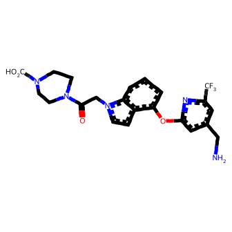 NCc1cc(Oc2cccc3c2ccn3CC(=O)N2CCN(C(=O)O)CC2)nc(C(F)(F)F)c1